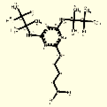 CCN(CC)CCCNc1nc(NC(C)(C)C(C)(C)CC)nc(NC(C)(C)C(C)(C)CC)n1